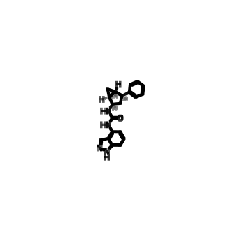 O=C(Nc1cccc2[nH]ncc12)N[C@@H]1C[C@H](c2ccccc2)[C@H]2C[C@@H]21